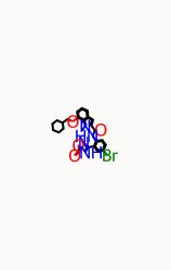 Cn1c(C(=O)Nc2ccc(Br)cc2-c2noc(=O)[nH]2)cc2cccc(OCC3CCCCC3)c21